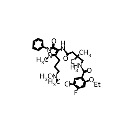 CCOc1cc(F)c(Cl)cc1C(=O)NCC(C)(C)CC(=O)Nc1c(CCCN(C)C)n(C)n(-c2ccccc2)c1=O